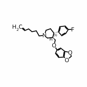 C=CCCCCN1CC[C@H](c2ccc(F)cc2)[C@@H](COc2ccc3c(c2)OCO3)C1